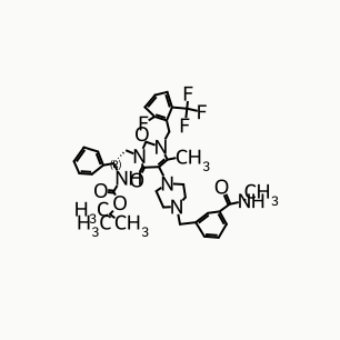 CNC(=O)c1cccc(CN2CCN(c3c(C)n(Cc4c(F)cccc4C(F)(F)F)c(=O)n(C[C@H](NC(=O)OC(C)(C)C)c4ccccc4)c3=O)CC2)c1